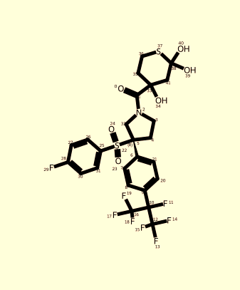 O=C(N1CC[C@](c2ccc(C(F)(C(F)(F)F)C(F)(F)F)cc2)(S(=O)(=O)c2ccc(F)cc2)C1)C1(O)CCSC(O)(O)C1